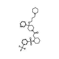 O=C(CC1CCCCN1S(=O)(=O)c1cccc(C(F)(F)F)c1)N1CCC(OCCCN2CCCCC2)(c2cccnc2)CC1